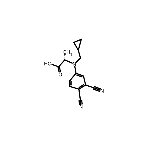 C[C@@H](C(=O)O)N(CC1CC1)c1ccc(C#N)c(C#N)c1